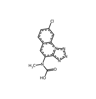 CN(C(=O)O)c1cc2ccc(Cl)cc2n2nnnc12